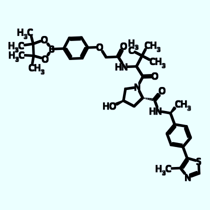 Cc1ncsc1-c1ccc([C@H](C)NC(=O)[C@@H]2C[C@@H](O)CN2C(=O)C(NC(=O)COc2ccc(B3OC(C)(C)C(C)(C)O3)cc2)C(C)(C)C)cc1